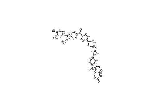 CC1CC2(CCN(C(=O)c3ccc(N4CCN(CC5CN(c6ccc7c(c6)C(=O)N(C6CCC(=O)NC6=O)C7=O)C5)CC4)cc3)CC2)CN1c1ccc(C#N)c(Cl)c1